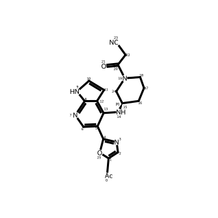 CC(=O)c1cnc(-c2cnc3[nH]ccc3c2N[C@@H]2CCCN(C(=O)CC#N)C2)o1